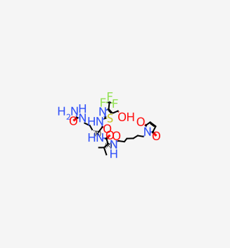 CC(C)[C@@H](NC(=O)CCCCCN1C(=O)C=CC1=O)C(=O)N[C@H](CCCNC(N)=O)C(=O)Nc1nc(C(F)(F)F)c(CO)s1